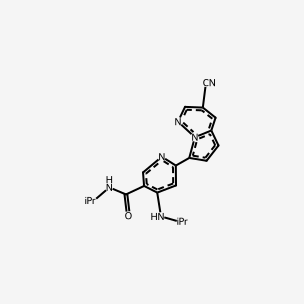 CC(C)NC(=O)c1cnc(-c2ccc3cc(C#N)cnn23)cc1NC(C)C